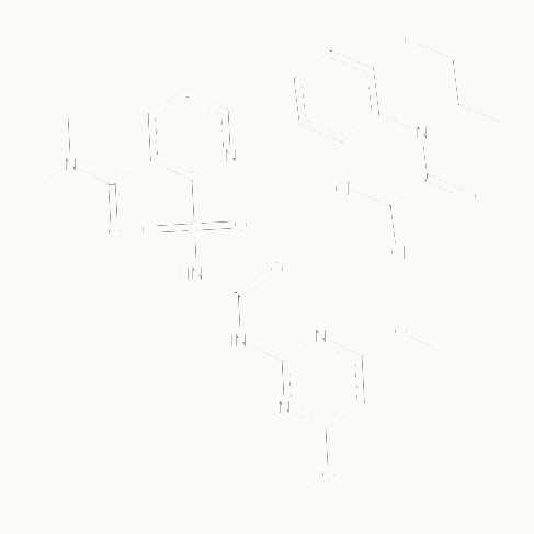 CC1COc2ccccc2N1C(=O)C(Cl)Cl.COc1cc(OC)nc(NC(=O)NS(=O)(=O)c2ncccc2C(=O)N(C)C)n1